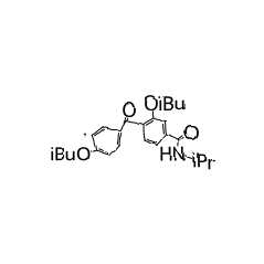 CC(C)COc1[c]cc(C(=O)c2ccc(C(=O)NC(C)C)cc2OCC(C)C)cc1